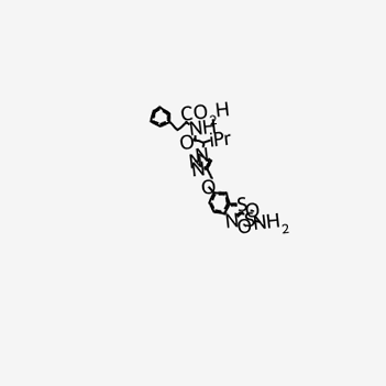 CC(C)C(C(=O)NC(Cc1ccccc1)C(=O)O)n1cc(COc2ccc3nc(S(N)(=O)=O)sc3c2)nn1